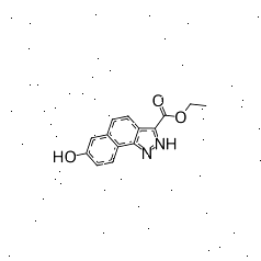 CCOC(=O)c1[nH]nc2c1ccc1cc(O)ccc12